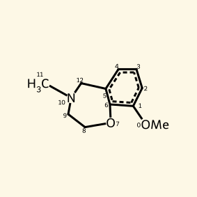 COc1cccc2c1OCCN(C)C2